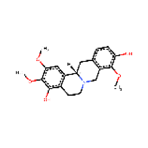 COc1cc2c(c(O)c1OC)CCN1Cc3c(ccc(O)c3OC)C[C@@H]21